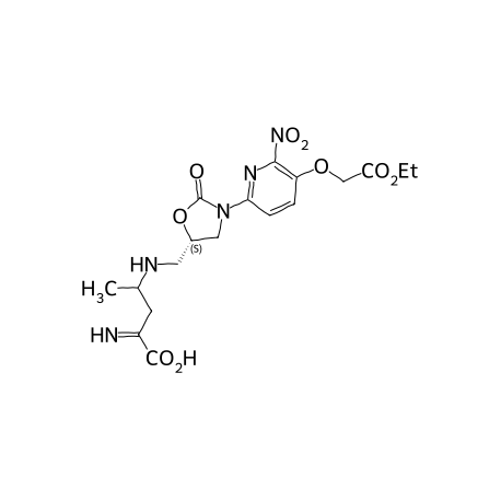 CCOC(=O)COc1ccc(N2C[C@H](CNC(C)CC(=N)C(=O)O)OC2=O)nc1[N+](=O)[O-]